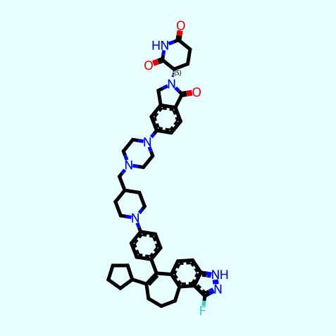 O=C1CC[C@H](N2Cc3cc(N4CCN(CC5CCN(c6ccc(C7=C(C8CCCC8)CCCc8c7ccc7[nH]nc(F)c87)cc6)CC5)CC4)ccc3C2=O)C(=O)N1